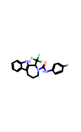 O=C(Nc1ccc(F)cc1)N1CCCc2c([nH]c3ccccc23)C1C(F)(F)F